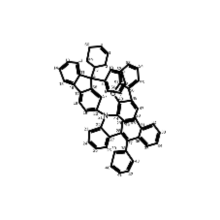 C1=CCC(C2(c3ccccc3)c3ccccc3-c3ccc(N(c4ccccc4-c4ccc5ccccc5c4-c4ccccc4)c4cccc5c4oc4ccccc45)cc32)CC1